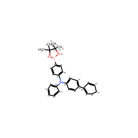 CC1(C)OB(c2ccc(N(c3ccccc3)c3ccc(C4=CCCC=C4)cc3)cc2)OC1(C)C